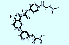 CN(C)CCNc1ccc(NC(=O)c2n[nH]c3ccc(-c4cncc(NC(=O)N(C)C)c4)cc23)cn1